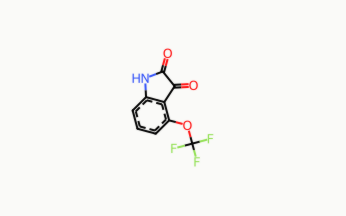 O=C1Nc2cccc(OC(F)(F)F)c2C1=O